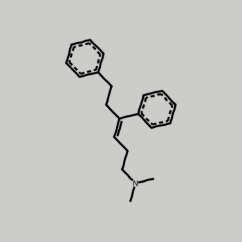 CN(C)CCC=C(CCc1ccccc1)c1ccccc1